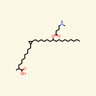 CCCCCCCCCC(CCCCCCC1CC1CCCCCCCCC(C)C(=O)O)OC(=O)CCCN(C)C